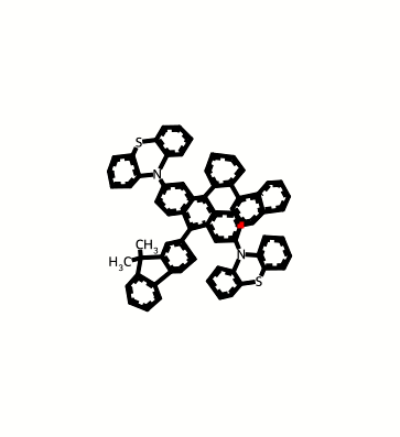 CC1(C)c2ccccc2-c2ccc(-c3c4cc(N5c6ccccc6Sc6ccccc65)ccc4c(-c4ccccc4-c4cccc5ccccc45)c4cc(N5c6ccccc6Sc6ccccc65)ccc34)cc21